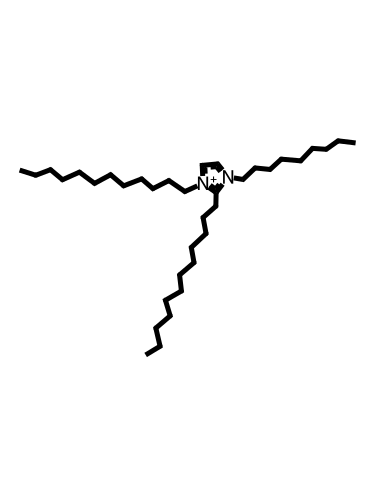 CCCCCCCCCCCCc1n(CCCCCCCCC)cc[n+]1CCCCCCCCCCCC